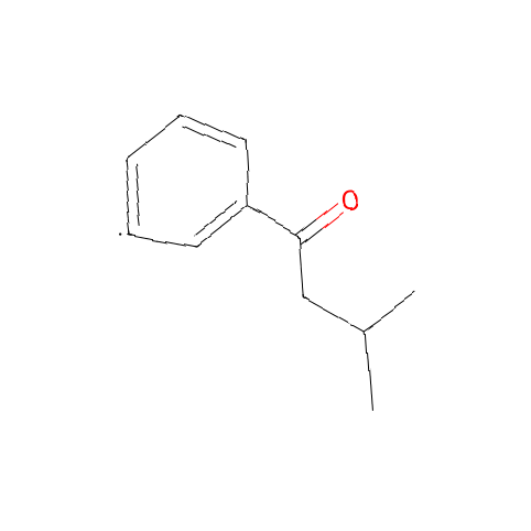 CC(C)CC(=O)c1c[c]ccc1